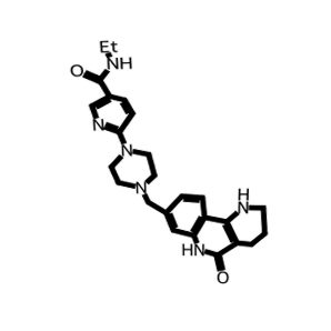 CCNC(=O)c1ccc(N2CCN(Cc3ccc4c5c(c(=O)[nH]c4c3)CCCN5)CC2)nc1